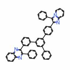 c1ccc(-c2cc(-c3ccc(-c4nc5ccccn5c4-c4ccccc4)cc3)cc(-c3cccc(-c4nc5ccccc5nc4-c4ccccc4)c3)c2)cc1